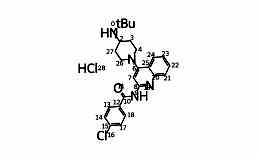 CC(C)(C)NC1CCN(c2cc(NC(=O)c3ccc(Cl)cc3)nc3ccccc23)CC1.Cl